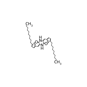 CCCCCCCCCCc1ccc(C=c2[nH]c(=O)c(=Cc3ccc(CCCCCCCCCC)s3)[nH]c2=O)s1